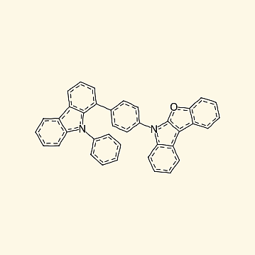 c1ccc(-n2c3ccccc3c3cccc(-c4ccc(-n5c6ccccc6c6c7ccccc7oc65)cc4)c32)cc1